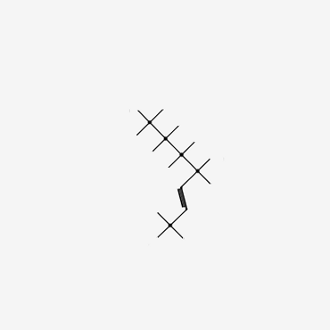 FC(F)(F)C(F)(F)/C=C/C(F)(C(F)(F)F)C(F)(F)C(F)(F)C(F)(F)C(F)(F)F